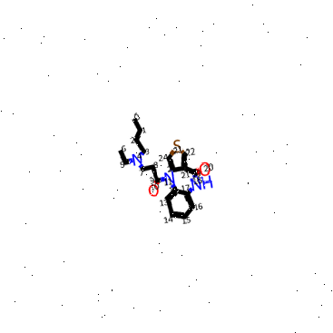 CCCCN(CC)CCC(=O)N1c2ccccc2NC(=O)c2cscc21